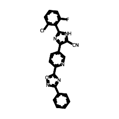 N#Cc1[nH]c(-c2c(F)cccc2Cl)nc1-c1ccc(-c2nc(-c3ccccc3)no2)nc1